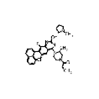 C=CC(=O)N1CCN(c2nc(OC[C@@H]3CCCN3C)nc3c(F)c(-c4cccc5cccc(Cl)c45)c(F)cc23)[C@@H](C)C1